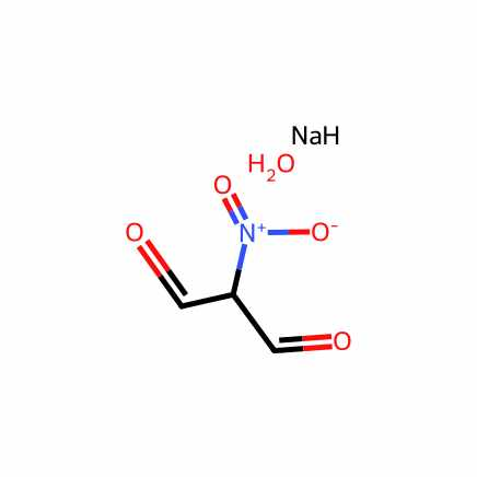 O.O=CC(C=O)[N+](=O)[O-].[NaH]